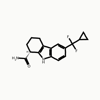 NC(=O)[C@@H]1CCCc2c1[nH]c1ccc(C(F)(F)C3CC3)cc21